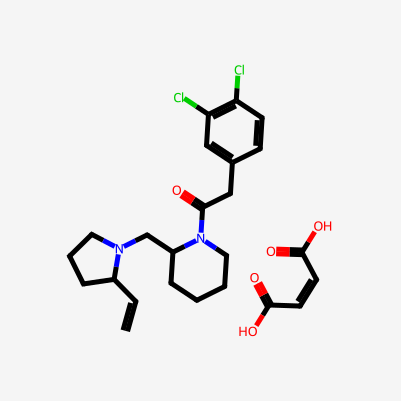 C=CC1CCCN1CC1CCCCN1C(=O)Cc1ccc(Cl)c(Cl)c1.O=C(O)/C=C\C(=O)O